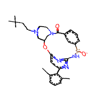 Cc1cccc(C)c1-c1cc2nc(n1)N[S+]([O-])c1cccc(c1)C(=O)N1CCN(CCC(C)(C)C)CC(C1)O2